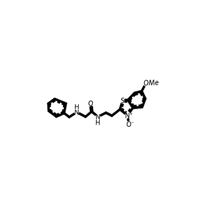 COc1ccc2c(c1)sc(CCNC(=O)CNCc1ccccc1)[n+]2[O-]